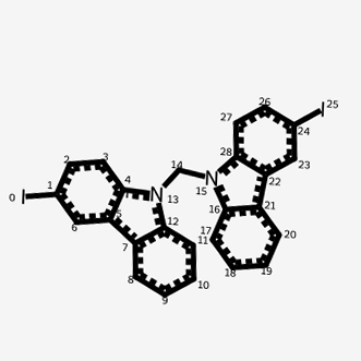 Ic1ccc2c(c1)c1ccccc1n2Cn1c2ccccc2c2cc(I)ccc21